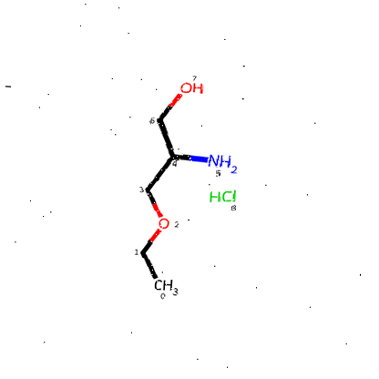 CCOCC(N)CO.Cl